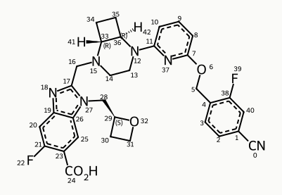 N#Cc1ccc(COc2cccc(N3CCN(Cc4nc5cc(F)c(C(=O)O)cc5n4C[C@@H]4CCO4)[C@@H]4CC[C@H]43)n2)c(F)c1